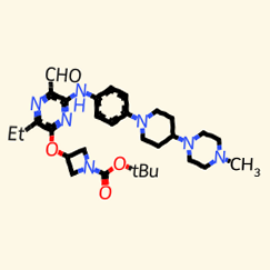 CCc1nc(C=O)c(Nc2ccc(N3CCC(N4CCN(C)CC4)CC3)cc2)nc1OC1CN(C(=O)OC(C)(C)C)C1